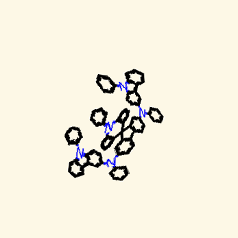 c1ccc(N(c2ccc3c(c2)C2(c4cc(N(c5ccccc5)c5ccc6c(c5)c5ccccc5n6-c5ccccc5)ccc4-3)c3ccccc3N(c3ccccc3)c3ccccc32)c2ccc3c(c2)c2ccccc2n3-c2ccccc2)cc1